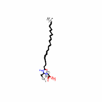 CCCCCCCCCCCCCCCCCC(=O)NC(CC)[N+](C)(C)CC(=O)O